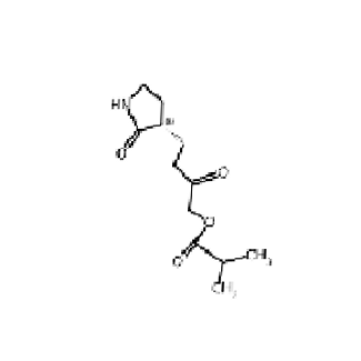 CC(C)C(=O)OCC(=O)CC[C@H]1CCNC1=O